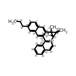 C=C1C2(C)c3cc4ccc(CCC)cc4cc3-c3c4ccccc4cc[n+]3C12C